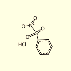 Cl.O=[N+]([O-])S(=O)(=O)c1ccccc1